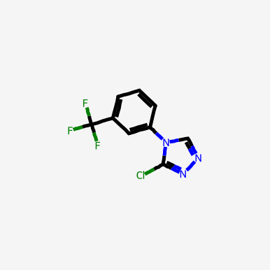 FC(F)(F)c1cccc(-n2cnnc2Cl)c1